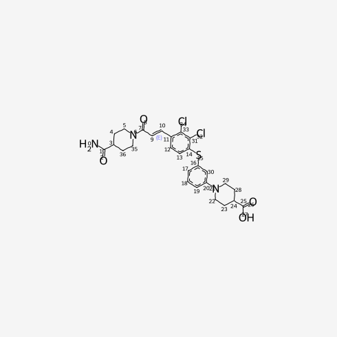 NC(=O)C1CCN(C(=O)/C=C/c2ccc(Sc3cccc(N4CCC(C(=O)O)CC4)c3)c(Cl)c2Cl)CC1